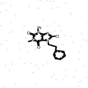 CC(C)n1c(=O)n(C)c(=O)c2c1nc(Cl)n2CCc1ccccc1